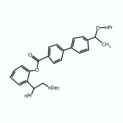 CCCCCCCCCCCC(CCC)c1ccccc1OC(=O)c1ccc(-c2ccc(C(C)OCCC)cc2)cc1